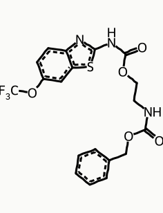 O=C(NCCOC(=O)Nc1nc2ccc(OC(F)(F)F)cc2s1)OCc1ccccc1